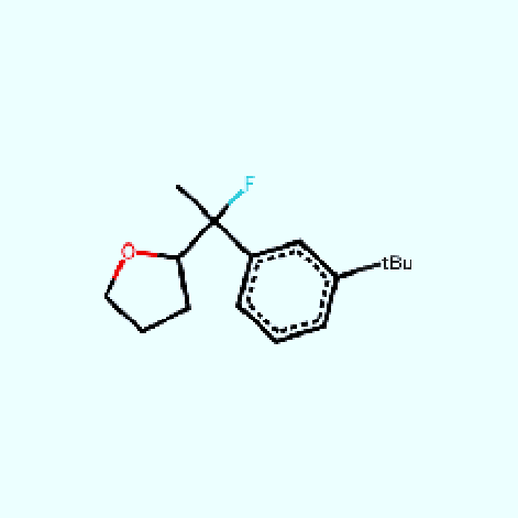 CC(C)(C)c1cccc(C(C)(F)C2CCCO2)c1